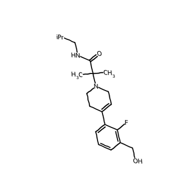 CC(C)CNC(=O)C(C)(C)N1CC=C(c2cccc(CO)c2F)CC1